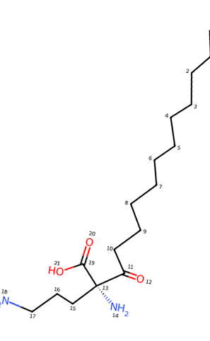 CCCCCCCCCCCC(=O)[C@@](N)(CCCN)C(=O)O